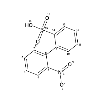 O=[N+]([O-])c1ccccc1-c1ccccc1S(=O)(=O)O